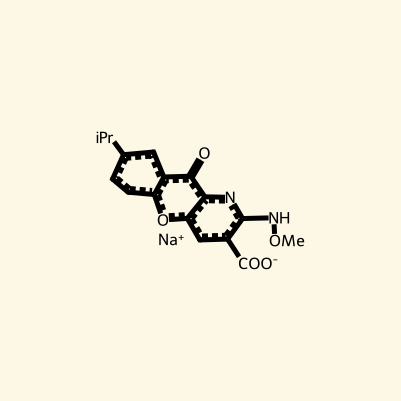 CONc1nc2c(=O)c3cc(C(C)C)ccc3oc2cc1C(=O)[O-].[Na+]